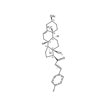 CC(=O)O[C@H]1CC[C@@]2(C)C(=CC[C@H]3[C@@H]4CC[C@H](C(=O)/C=C/c5ccc(F)cc5)[C@@]4(C)CC[C@@H]32)C1